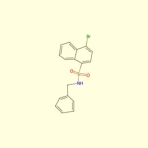 O=S(=O)(NCc1ccccc1)c1ccc(Br)c2ccccc12